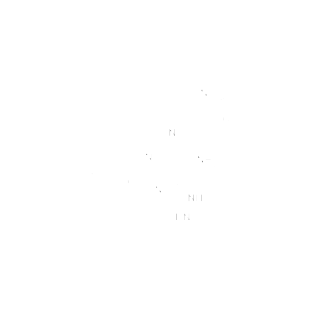 CNNc1nc(OCC(C)(C)C)nc(N2CC[C@H](NC(C)=O)C2)c1N